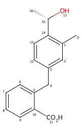 Cc1cc(Cc2ccccc2C(=O)O)ccc1[C@H](C)O